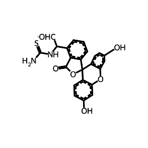 NC(=S)NC([C]=O)c1cccc2c1C(=O)OC21c2ccc(O)cc2Oc2cc(O)ccc21